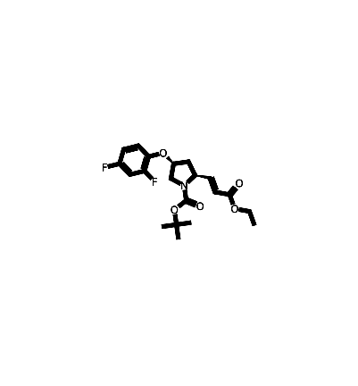 CCOC(=O)/C=C/[C@@H]1C[C@H](Oc2ccc(F)cc2F)CN1C(=O)OC(C)(C)C